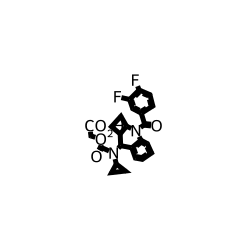 O=C(O)COC(=O)N(C1CC1)C1c2ccccc2N(C(=O)c2ccc(F)c(F)c2)C2CCC21